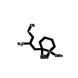 COC1(CC(C)CSC#N)CCCC[Si]1(OC)OC